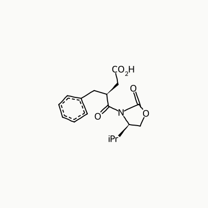 CC(C)[C@@H]1COC(=O)N1C(=O)[C@H](CC(=O)O)Cc1ccccc1